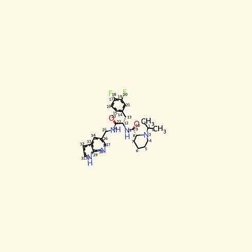 CC(C)N1CCCC[C@@H]1C(=O)N[C@@H](Cc1ccc(F)c(F)c1)C(=O)NCc1cnc2[nH]ccc2c1